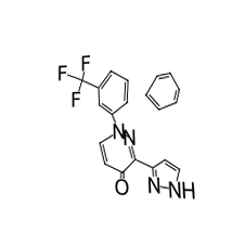 O=c1ccn(-c2cccc(C(F)(F)F)c2)nc1-c1cc[nH]n1.c1ccccc1